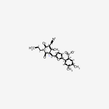 C=CCN1C(=O)C(C#N)=C(C)/C(=C\c2ccc(-c3cc(C)c(C)cc3[N+](=O)[O-])o2)C1=O